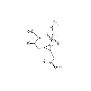 CC(C)[C@H](C[C@H]1C(C[C@@H](C(=O)O)C(C)C)[N@]1S(=O)(=O)OCC(Cl)(Cl)Cl)OC=O